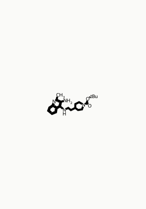 Cc1nc2ccccc2c(NCCC2CCN(C(=O)OC(C)(C)C)CC2)c1N